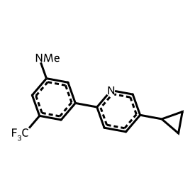 CNc1cc(-c2ccc(C3CC3)cn2)cc(C(F)(F)F)c1